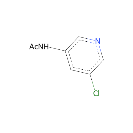 CC(=O)Nc1cncc(Cl)c1